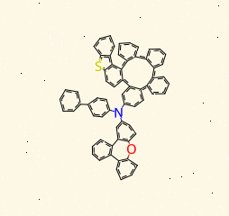 c1ccc(-c2ccc(N(c3ccc4c(c3)-c3ccccc3-c3ccccc3O4)c3ccc4c5ccccc5c5ccccc5c5ccccc5c5c(ccc6sc7ccccc7c65)c4c3)cc2)cc1